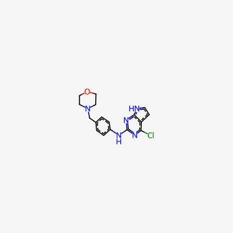 Clc1nc(Nc2ccc(CN3CCOCC3)cc2)nc2[nH]ccc12